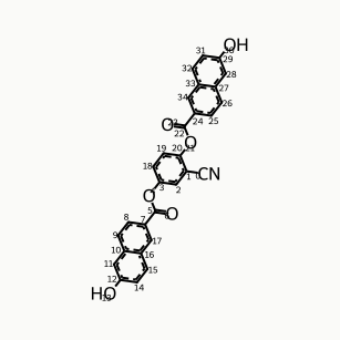 N#Cc1cc(OC(=O)c2ccc3cc(O)ccc3c2)ccc1OC(=O)c1ccc2cc(O)ccc2c1